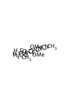 COc1cc(B2OC(C)(C)C(C)(C)O2)cc(OC)c1N1CCN(C2CCN(C)CC2)CC1